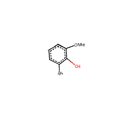 CCCc1c[c]cc(OC)c1O